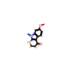 COc1ccc2c3c(n(C)c2c1)SCCC3=O